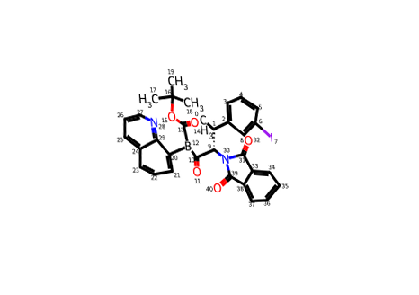 CC(c1cccc(I)c1)[C@@H](C(=O)B(C(=O)OC(C)(C)C)c1cccc2cccnc12)N1C(=O)c2ccccc2C1=O